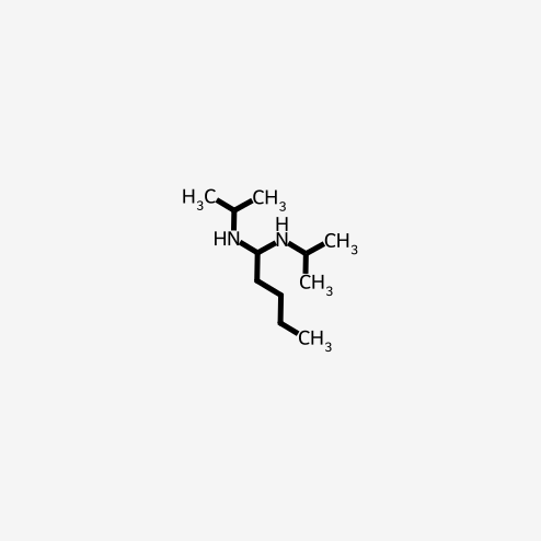 CCCCC(NC(C)C)NC(C)C